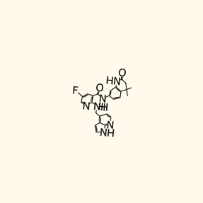 CC1(C)CC(=O)Nc2cc(NC(=O)c3cc(F)cnc3NCc3ccnc4[nH]ccc34)ccc21